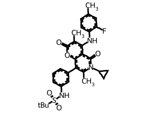 Cc1ccc(Nc2c(C)c(=O)oc3c(-c4cccc(NS(=O)(=O)C(C)(C)C)c4)c(C)n(C4CC4)c(=O)c23)c(F)c1